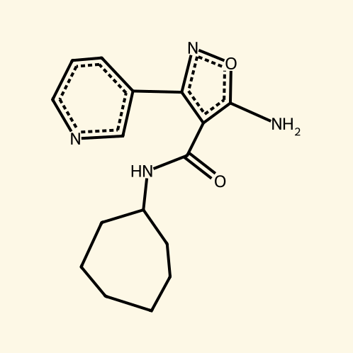 Nc1onc(-c2cccnc2)c1C(=O)NC1CCCCCC1